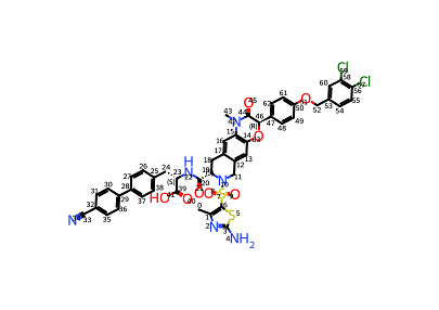 Cc1nc(N)sc1S(=O)(=O)N1Cc2cc3c(cc2C[C@H]1C(=O)N[C@@H](Cc1ccc(-c2ccc(C#N)cc2)cc1)C(=O)O)N(C)C(=O)[C@@H](c1ccc(OCc2ccc(Cl)c(Cl)c2)cc1)O3